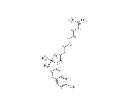 Cc1ccc2ccc(C(CCCCCCCCO[SiH](C)C)C(C)(C)C)cc2n1